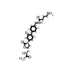 CC(=O)NC[C@H]1CN(c2ccc(-c3ccc(CNC(=O)CCCN)cc3)c(F)c2)C(=O)O1